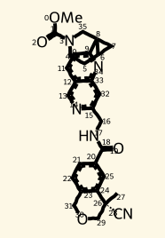 COC(=O)N1CCC2CC2(c2ccc3cnc(CNC(=O)c4ccc5c(c4)[C@](C)(C#N)COC5)cc3n2)C1